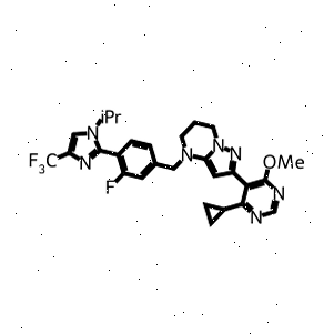 COc1ncnc(C2CC2)c1-c1cc2n(n1)CCCN2Cc1ccc(-c2nc(C(F)(F)F)cn2C(C)C)c(F)c1